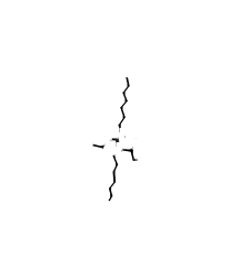 CCCCCCCNC(SCC)=[N+](CCCCCCC)C(=O)CCl